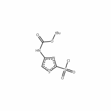 CC(C)(C)OC(=O)Nc1csc(S(=O)(=O)Cl)n1